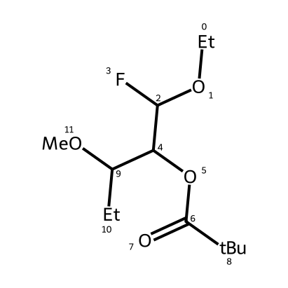 CCOC(F)C(OC(=O)C(C)(C)C)C(CC)OC